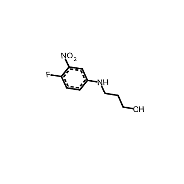 O=[N+]([O-])c1cc(NCCCO)ccc1F